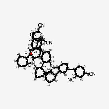 N#Cc1ccc(-c2ccc3c(c2)c2ccccc2n3-c2ccc(-c3ccc(C#N)cc3C(F)(F)F)cc2-c2c(C#N)cccc2-n2c3ccccc3c3cc(-c4ccc(C#N)cc4C#N)ccc32)c(C#N)c1